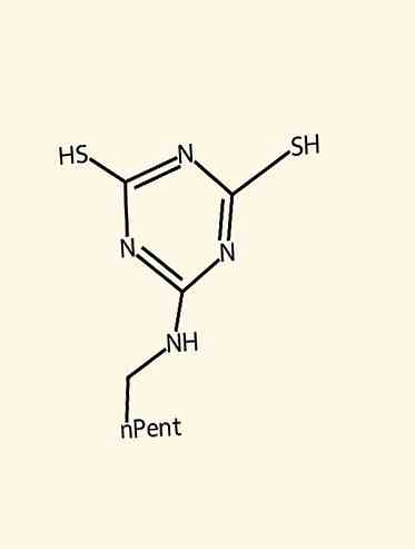 CCCCCCNc1nc(S)nc(S)n1